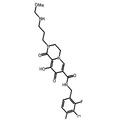 COCNCCCN1CCn2cc(C(=O)NCc3ccc(F)c(Cl)c3F)c(=O)c(O)c2C1=O